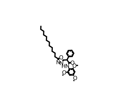 CCCCCCCCCCCCc1nnc(C(C(=O)Nc2c(OC)cc(OC)cc2OC)c2ccccc2)o1